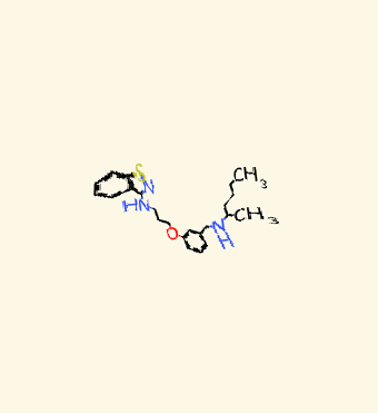 CCCCC(C)NCc1cccc(OCCCNc2nsc3ccccc23)c1